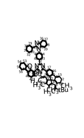 CC1=C(/C=C(\C)C(C)(C)C)C2(C3=CC(C)CC=C3c3ccc(-c4nc(-c5ccc(-n6c(-c7ccccc7)nc7ccccc76)cc5)nc(-c5cccc6c5oc5ccccc56)n4)cc32)C(/C=C(\C)C(C)(C)C)=C1C